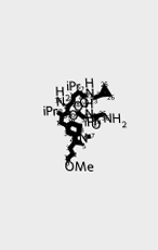 COCCCc1cn(C)c2ccc(CC(C[C@H](N)C(CC(C(=O)NCC3CC3)C(C)C)OC(=O)C(NC(=O)CN)C(C)C)C(C)C)cc12